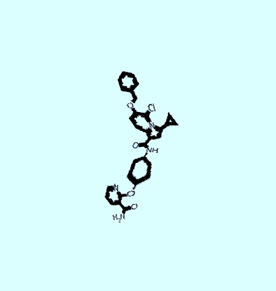 NC(=O)c1cccnc1O[C@H]1CC[C@H](NC(=O)c2cc(C3CC3)n3c(Cl)c(OCc4ccccc4)ccc23)CC1